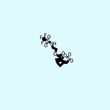 O=C(OCCNS(=O)(=O)C(F)(F)F)C1C2CC3OS(=O)(=O)C1C3C2